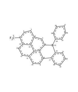 FC(F)(F)c1ccc2cc3c4c(ccc5ccc1c2c54)-c1ccccc1B3c1ccccc1